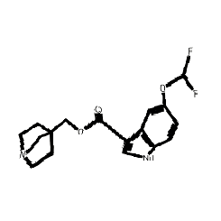 O=C(OCC12CCN(CC1)CC2)c1c[nH]c2ccc(OC(F)F)cc12